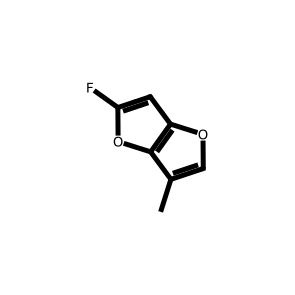 Cc1coc2cc(F)oc12